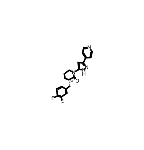 O=C1[C@H](Cc2ccc(F)c(F)c2)CCCN1c1cc(-c2ccncc2)n[nH]1